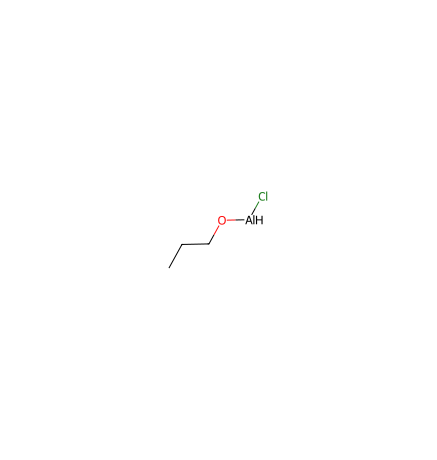 CCC[O][AlH][Cl]